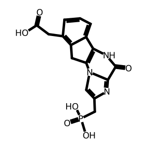 O=C(O)Cc1cccc2c1Cc1c-2[nH]c(=O)c2nc(CP(=O)(O)O)cn12